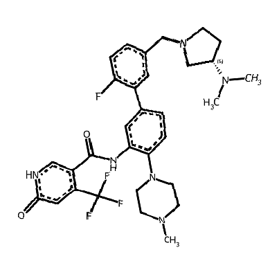 CN1CCN(c2ccc(-c3cc(CN4CC[C@H](N(C)C)C4)ccc3F)cc2NC(=O)c2c[nH]c(=O)cc2C(F)(F)F)CC1